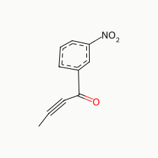 CC#CC(=O)c1cccc([N+](=O)[O-])c1